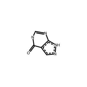 O=C1[N]C=Nc2[nH]ncc21